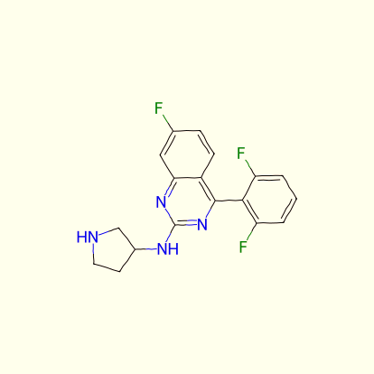 Fc1ccc2c(-c3c(F)cccc3F)nc(NC3CCNC3)nc2c1